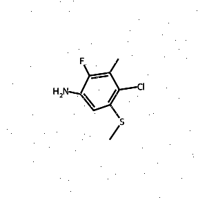 CSc1cc(N)c(F)c(C)c1Cl